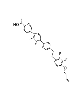 C=CCCOc1ccc(CCc2ccc(-c3ccc(-c4ccc(C(C)O)cc4)c(F)c3F)cc2)c(F)c1F